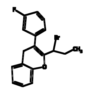 CCC(Br)C1=C(c2cccc(F)c2)Cc2ccccc2O1